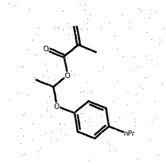 C=C(C)C(=O)OC(C)Oc1ccc(CCC)cc1